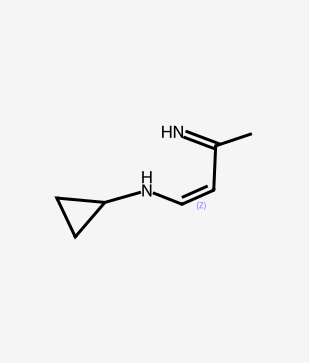 CC(=N)/C=C\NC1CC1